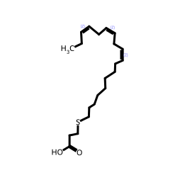 CC/C=C\C/C=C\C/C=C\CCCCCCCCSCCC(=O)O